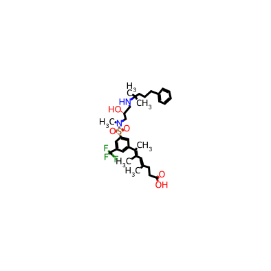 C/C(=C\C(C)=C(/C)c1cc(C(F)(F)F)cc(S(=O)(=O)N(C)C[C@H](O)CNC(C)(C)CCCc2ccccc2)c1)CCC(=O)O